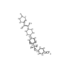 CC1CC=C(/C(F)=C(\F)C2CCC(c3cnc(C(F)(F)Oc4ccc(C(F)(F)F)cc4)nc3)CC2)CC1